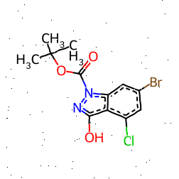 CC(C)(C)OC(=O)n1nc(O)c2c(Cl)cc(Br)cc21